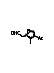 CC(=O)c1cnn(CC=O)c1C